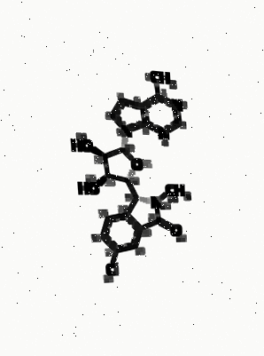 Cc1ncnc2c1ccn2[C@@H]1O[C@H]([C@H]2c3ccc(Cl)cc3C(=O)N2C)[C@@H](O)[C@H]1O